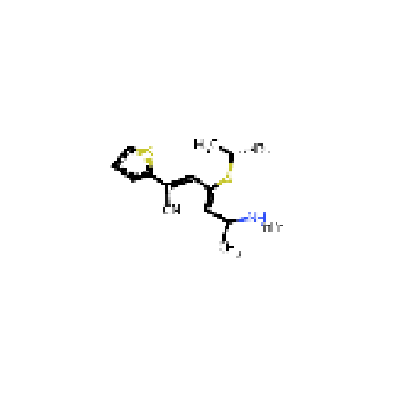 CCCNC(C)/C=C(/C=C(\C#N)c1cccs1)S[C@H](C)C(C)CC